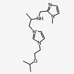 CC(C[n+]1ccn(CCOC(C)C)c1)NCc1nccn1C